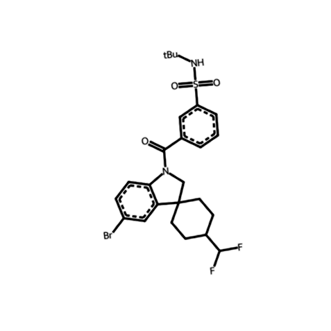 CC(C)(C)NS(=O)(=O)c1cccc(C(=O)N2CC3(CCC(C(F)F)CC3)c3cc(Br)ccc32)c1